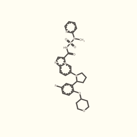 CN(c1ccccn1)S(=O)(=O)NC(=O)c1cnc2ccc(N3CCCC3c3cc(F)ccc3OC3CCOCC3)cn12